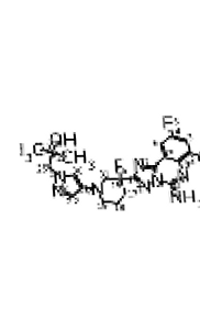 COc1cc(F)cc2c1nc(N)n1nc(C3(F)CCCN(c4cnn(CC(C)(C)O)c4)C3)nc21